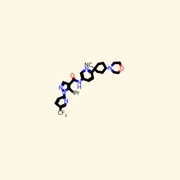 CC(C)c1c(C(=O)Nc2ccc([C@]3(C#N)CC[C@@H](N4CCOCC4)CC3)nc2)cnn1-c1ccc(C(F)(F)F)cn1